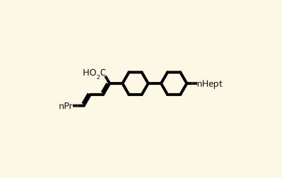 CCCC=CC=C(C(=O)O)C1CCC(C2CCC(CCCCCCC)CC2)CC1